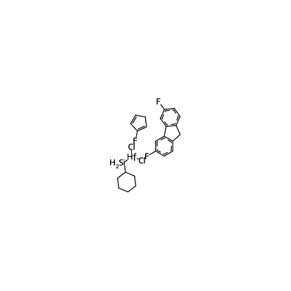 FC1=CCC=C1.Fc1ccc2c(c1)-c1cc(F)ccc1C2.[Cl][Hf]([Cl])[SiH2]C1CCCCC1